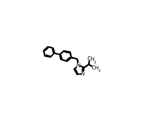 CC(C)c1nccn1Cc1ccc(-c2ccccc2)cc1